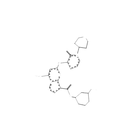 CNc1cc(Nc2cccn(C3CCOCC3)c2=O)nc2c(C(=O)NC3CCCC(C)C3)cnn12